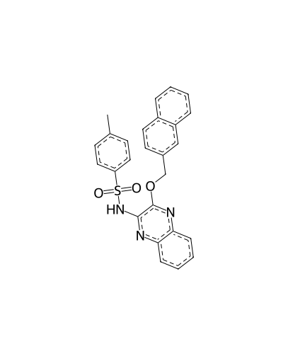 Cc1ccc(S(=O)(=O)Nc2nc3ccccc3nc2OCc2ccc3ccccc3c2)cc1